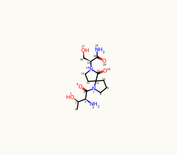 CC(O)[C@H](N)C(=O)N1CCCC12CCN([C@@H](CO)C(N)=O)C2=O